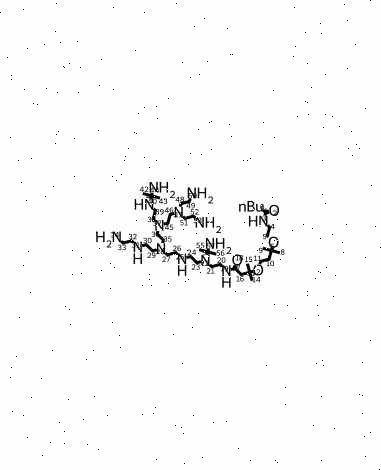 CCCCC(=O)NCCOC(C)(C)CCOC(C)(C)CC(=O)NCCN(CCNCCN(CCNCCN)CCN(CCNC(C)(C)N)CCN(CCN)CCN)C(C)(C)N